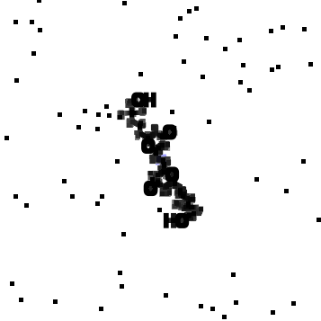 CC(C)(CO)CCCc1cc(=O)cc(/C=C/c2cc(=O)cc(CCCC(C)(C)CO)o2)o1